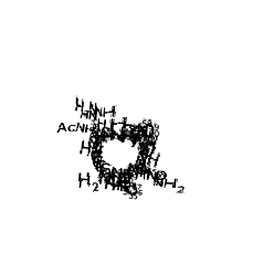 CC(=O)N[C@@H](CCCNC(=N)N)C(=O)N[C@H]1CC(=O)NCCCCC(C(N)=O)NC(=O)[C@H](Cc2c[nH]c3ccccc23)NC(=O)[C@H](CCCNC(N)=O)NC(=O)[C@@H](Cc2ccccc2)NC(=O)[C@H](C)NC1=O